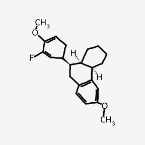 COC1=CCC([C@@H]2Cc3ccc(OC)cc3[C@@H]3CCCC[C@@H]32)C=C1F